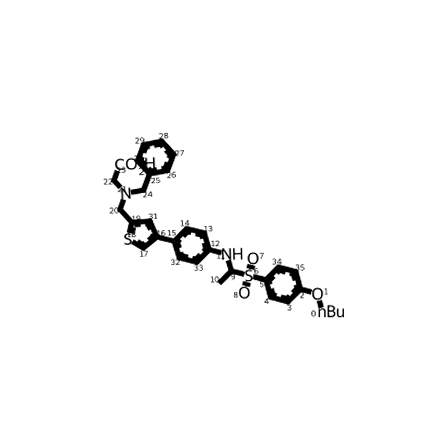 CCCCOc1ccc(S(=O)(=O)C(C)Nc2ccc(-c3csc(CN(CC(=O)O)Cc4ccccc4)c3)cc2)cc1